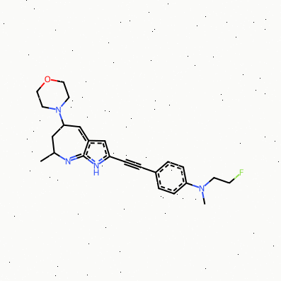 CC1CC(N2CCOCC2)C=c2cc(C#Cc3ccc(N(C)CCF)cc3)[nH]c2=N1